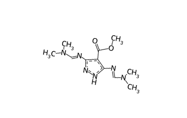 COC(=O)c1c(/N=C/N(C)C)n[nH]c1/N=C/N(C)C